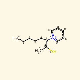 CCCCCC(=C(C)S)[n+]1ccccc1